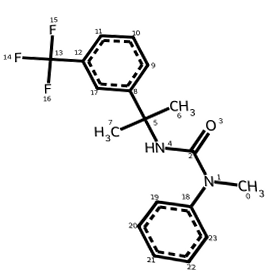 CN(C(=O)NC(C)(C)c1cccc(C(F)(F)F)c1)c1ccccc1